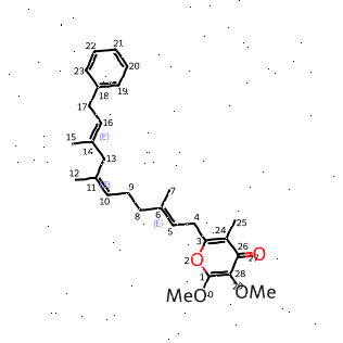 COc1oc(C/C=C(\C)CC/C=C(/C)C/C(C)=C/Cc2ccccc2)c(C)c(=O)c1OC